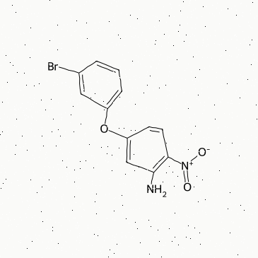 Nc1cc(Oc2cccc(Br)c2)ccc1[N+](=O)[O-]